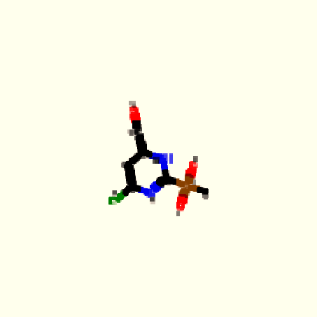 CS(=O)(=O)C1=NC(Cl)=CC(=C=O)N1